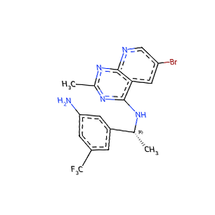 Cc1nc(N[C@H](C)c2cc(N)cc(C(F)(F)F)c2)c2cc(Br)cnc2n1